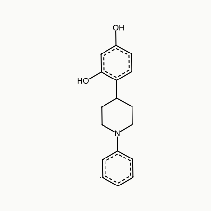 Oc1ccc(C2CCN(c3c[c]ccc3)CC2)c(O)c1